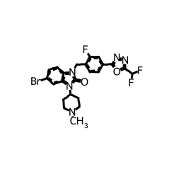 CN1CCC(n2c(=O)n(Cc3ccc(-c4nnc(C(F)F)o4)cc3F)c3ccc(Br)cc32)CC1